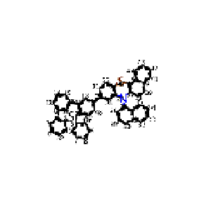 c1ccc([Si]2(c3ccccc3)c3ccccc3-c3cc(-c4ccc5c(c4)N(c4cccc6ccccc46)c4ccc6ccccc6c4S5)ccc32)cc1